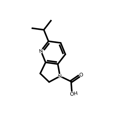 CC(C)c1ccc2c(n1)CCN2C(=O)O